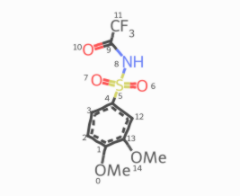 COc1ccc(S(=O)(=O)NC(=O)C(F)(F)F)cc1OC